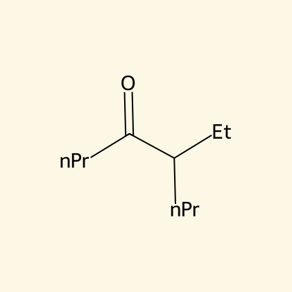 CCCC(=O)C(CC)CCC